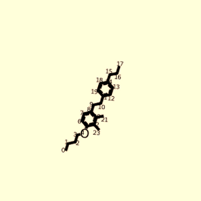 CCCCOc1ccc(CCc2ccc(CCC)cc2)c(C)c1C